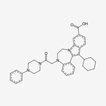 O=C(O)c1ccc2c(C3CCCCC3)c3n(c2c1)CCN(CC(=O)N1CCN(c2ccccc2)CC1)c1ccccc1-3